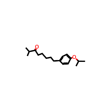 CC(C)Oc1ccc(CCCCCC(=O)C(C)C)cc1